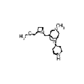 COCC1CCN1CC12CC(CN(C)C1)N(C1CCNCC1)C2